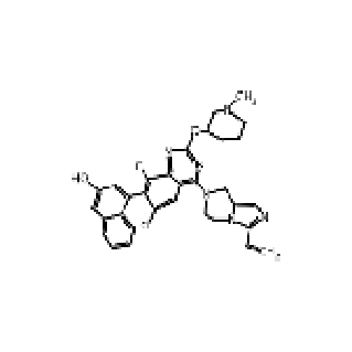 C=Cc1ncc2n1CCN(c1nc(OC3CCCN(C)C3)nc3c(F)c(-c4cc(O)cc5ccccc45)c(Cl)cc13)C2